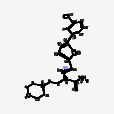 NC(=S)N(CCN1CCOCC1)/N=C/c1ccc(-c2cccc(Cl)c2)o1